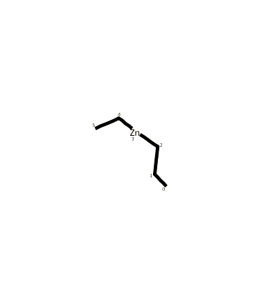 CC[CH2][Zn][CH2]C